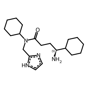 N[C@@H](CCC(=O)N(Cc1ncc[nH]1)C1CCCCC1)C1CCCCC1